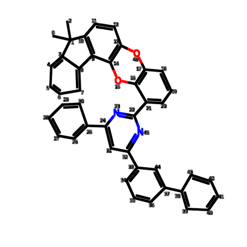 CC1(C)c2ccccc2-c2c1ccc1c2Oc2c(cccc2-c2nc(-c3ccccc3)cc(-c3cccc(-c4ccccc4)c3)n2)O1